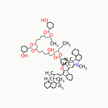 C=C(/C=C/C1=C(Oc2cccc(C3OC(CCC)CC(CC(O)CCCC4CC(CCCC5CC(CC)OC(c6cccc(O)c6)O5)OC(c5cccc(O)c5)O4)O3)c2)C(=C/C=C2/N(C)c3ccc4ccccc4c3C2(C)C)/c2ccccc21)C(C)(C)c1c(C)ccc2ccccc12